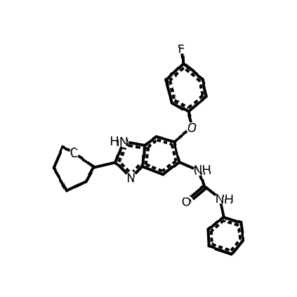 O=C(Nc1ccccc1)Nc1cc2nc(C3CCCCC3)[nH]c2cc1Oc1ccc(F)cc1